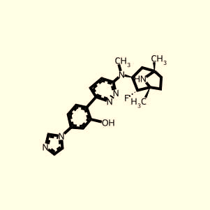 CN(c1ccc(-c2ccc(-n3ccnc3)cc2O)nn1)[C@H]1C[C@]2(C)CC[C@@](C)(N2)[C@@H]1F